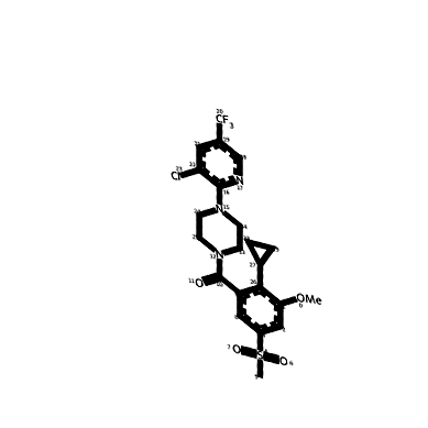 COc1cc(S(C)(=O)=O)cc(C(=O)N2CCN(c3ncc(C(F)(F)F)cc3Cl)CC2)c1C1CC1